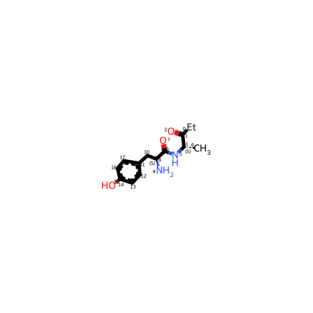 CCC(=O)[C@H](C)NC(=O)[C@@H](N)Cc1ccc(O)cc1